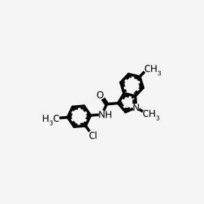 Cc1ccc(NC(=O)c2cn(C)c3cc(C)ccc23)c(Cl)c1